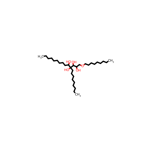 CCCCCCCCCOCC(O)C(O)C(O)(CCCCCCCCC)C(O)CCCCCCCCC